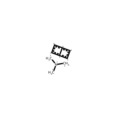 CN(C)C.c1cc2ccc1-2